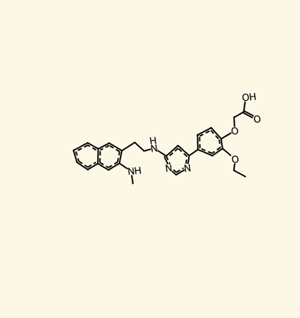 CCOc1cc(-c2cc(NCCc3cc4ccccc4cc3NC)ncn2)ccc1OCC(=O)O